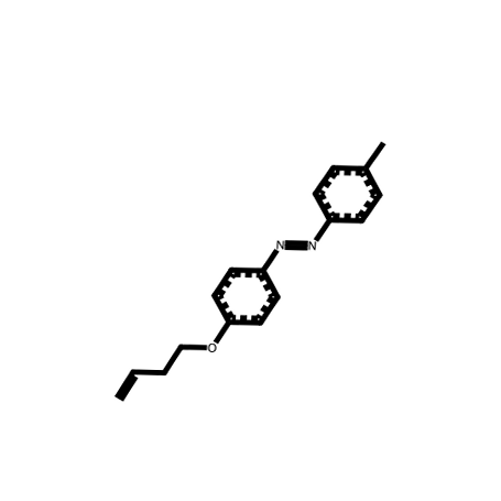 C=CCCOc1ccc(N=Nc2ccc(C)cc2)cc1